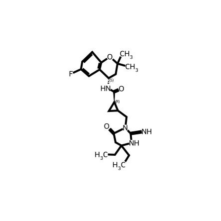 CCC1(CC)CC(=O)N(CC2C[C@H]2C(=O)N[C@H]2CC(C)(C)Oc3ccc(F)cc32)C(=N)N1